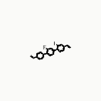 C=Cc1ccc(-c2ccc(-c3ccc(C=C)cc3F)cc2F)cc1